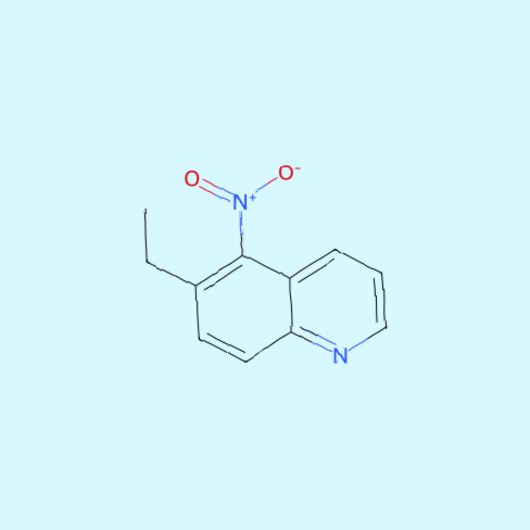 CCc1ccc2ncccc2c1[N+](=O)[O-]